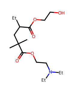 CCC(CC(C)(C)C(=O)OCCN(CC)CC)C(=O)OCCO